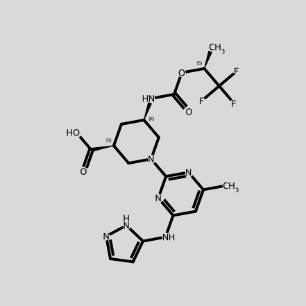 Cc1cc(Nc2ccn[nH]2)nc(N2C[C@H](NC(=O)O[C@@H](C)C(F)(F)F)C[C@H](C(=O)O)C2)n1